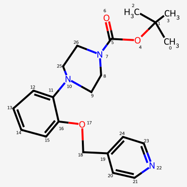 CC(C)(C)OC(=O)N1CCN(c2ccccc2OCc2ccncc2)CC1